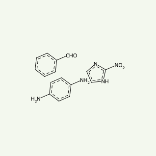 Nc1ccc(N)cc1.O=Cc1ccccc1.O=[N+]([O-])c1ncc[nH]1